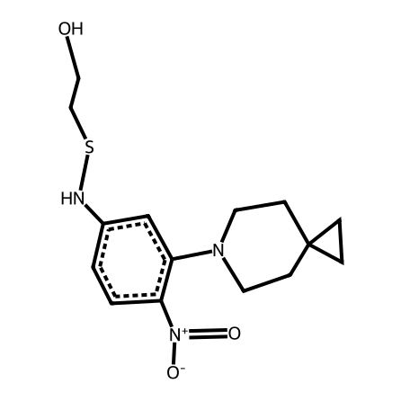 O=[N+]([O-])c1ccc(NSCCO)cc1N1CCC2(CC1)CC2